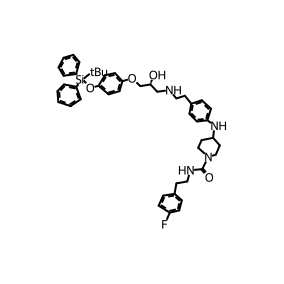 CC(C)(C)[Si](Oc1ccc(OC[C@@H](O)CNCCc2ccc(NC3CCN(C(=O)NCCc4ccc(F)cc4)CC3)cc2)cc1)(c1ccccc1)c1ccccc1